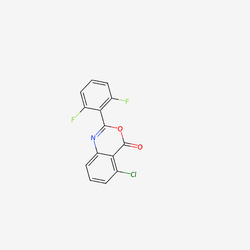 O=c1oc(-c2c(F)cccc2F)nc2cccc(Cl)c12